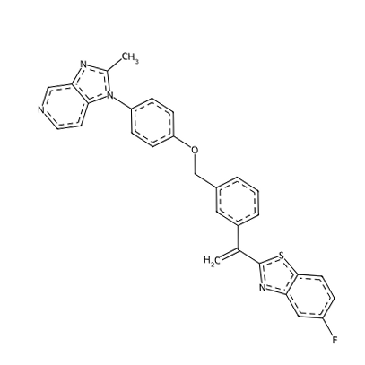 C=C(c1cccc(COc2ccc(-n3c(C)nc4cnccc43)cc2)c1)c1nc2cc(F)ccc2s1